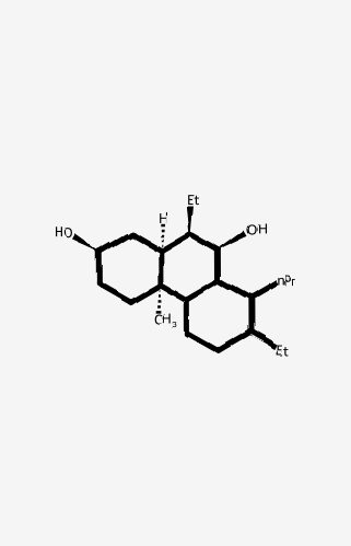 CCCC1C(CC)CCC2C1[C@H](O)[C@H](CC)[C@@H]1C[C@H](O)CC[C@]21C